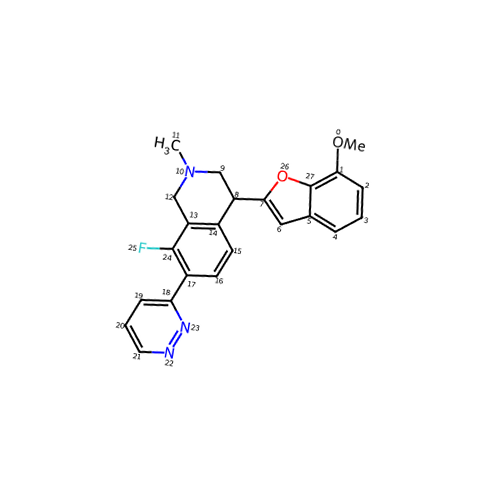 COc1cccc2cc(C3CN(C)Cc4c3ccc(-c3cccnn3)c4F)oc12